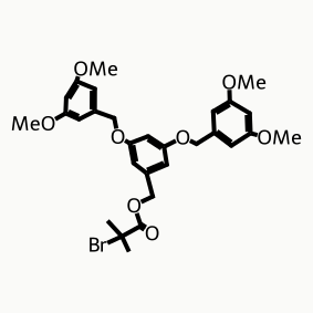 COc1cc(COc2cc(COC(=O)C(C)(C)Br)cc(OCc3cc(OC)cc(OC)c3)c2)cc(OC)c1